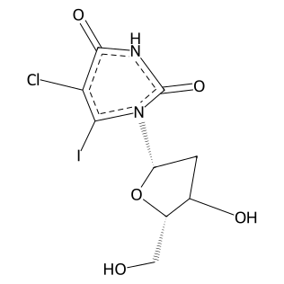 O=c1[nH]c(=O)n([C@@H]2CC(O)[C@H](CO)O2)c(I)c1Cl